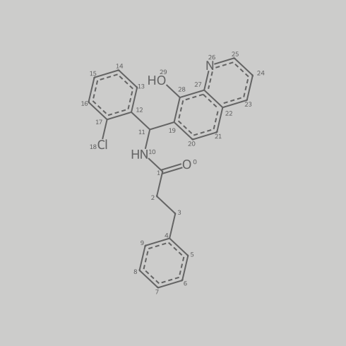 O=C(CCc1ccccc1)NC(c1ccccc1Cl)c1ccc2cccnc2c1O